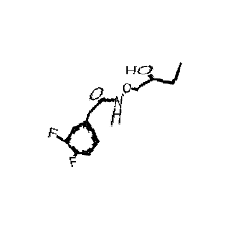 CCC(O)CONC(=O)c1ccc(F)c(F)c1